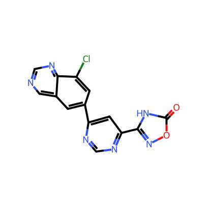 O=c1[nH]c(-c2cc(-c3cc(Cl)c4ncncc4c3)ncn2)no1